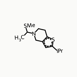 CSC(C)N1CCc2sc(C(C)C)cc2C1